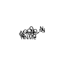 CNc1nn2cccnc2c1C(=O)NC(C)c1cc2cccc(C#Cc3cnn4c3CCC4)c2c(=O)n1-c1ccccc1